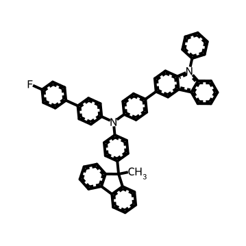 CC1(c2ccc(N(c3ccc(-c4ccc(F)cc4)cc3)c3ccc(-c4ccc5c(c4)c4ccccc4n5-c4ccccc4)cc3)cc2)c2ccccc2-c2ccccc21